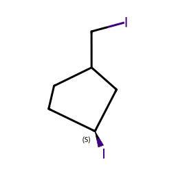 ICC1CC[C@H](I)C1